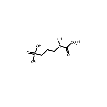 O=C(O)C(=O)N(O)CCCP(=O)(O)O